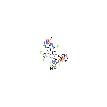 CC(C)(C#Cc1ccc(-c2ccc(Cl)c3c(NS(=O)(=O)C4CC4)nn(CC(F)F)c23)c([C@H](Cc2cc(F)cc(F)c2)NC(=O)Cn2cc(C(F)F)c3c2C(F)(F)[C@@H]2CC[C@H]32)n1)S(=O)(=O)C1CC1